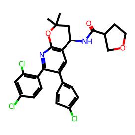 CC1(C)C[C@@H](NC(=O)C2CCOC2)c2cc(-c3ccc(Cl)cc3)c(-c3ccc(Cl)cc3Cl)nc2O1